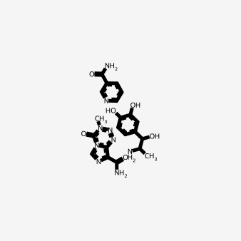 CC(N)C(O)c1ccc(O)c(O)c1.Cn1nnc2c(C(N)=O)ncn2c1=O.NC(=O)c1cccnc1